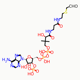 CC(C)(COP(=O)(O)OP(=O)(O)OC[C@H]1O[C@@H](n2cnc3c(N)ncnc32)[C@H](O)[C@@H]1OP(=O)(O)O)[C@@H](O)C(=O)NCCC(=O)NCCSCC=O